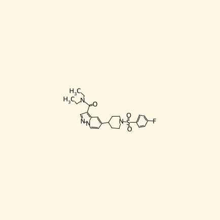 CCN(CC)C(=O)c1cnn2ccc(C3CCN(S(=O)(=O)c4ccc(F)cc4)CC3)cc12